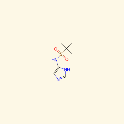 CC(C)(C)S(=O)(=O)Nc1cnc[nH]1